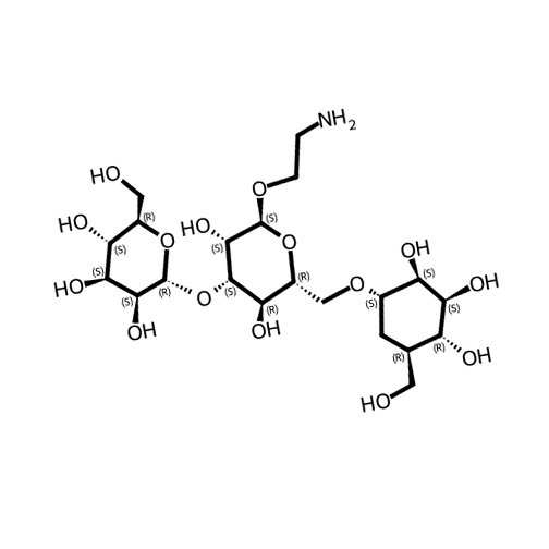 NCCO[C@H]1O[C@H](CO[C@H]2C[C@H](CO)[C@@H](O)[C@H](O)[C@@H]2O)[C@@H](O)[C@H](O[C@H]2O[C@H](CO)[C@@H](O)[C@H](O)[C@@H]2O)[C@@H]1O